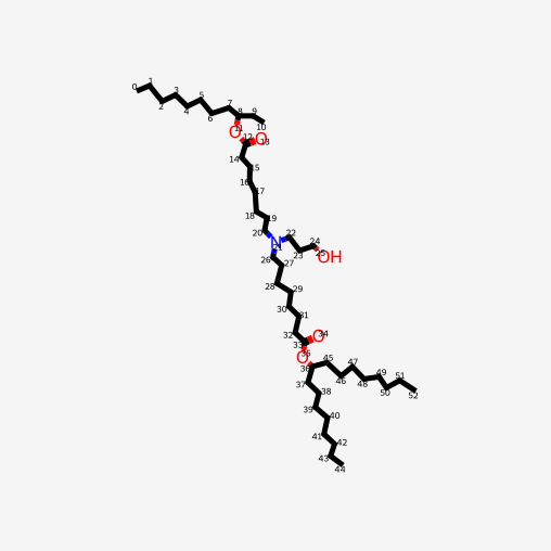 CCCCCCCCC(CC)OC(=O)CCCCCCCN(CCCO)CCCCCCCC(=O)OC(CCCCCCCC)CCCCCCCC